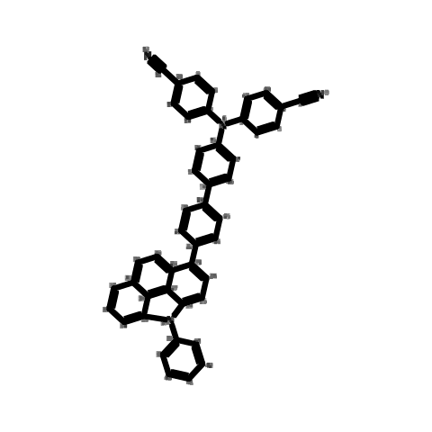 N#Cc1ccc(N(c2ccc(C#N)cc2)c2ccc(-c3ccc(-c4ccc5c6c4ccc4cccc(c46)n5-c4ccccc4)cc3)cc2)cc1